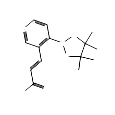 CC1(C)OB(c2ccncc2/C=C/C(=O)O)OC1(C)C